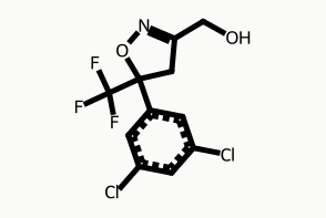 OCC1=NOC(c2cc(Cl)cc(Cl)c2)(C(F)(F)F)C1